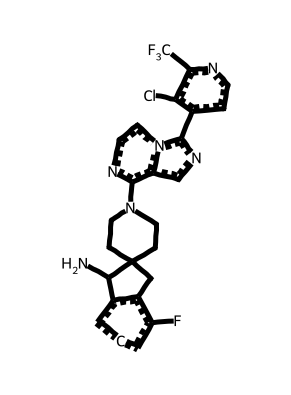 NC1c2cccc(F)c2CC12CCN(c1nccn3c(-c4ccnc(C(F)(F)F)c4Cl)ncc13)CC2